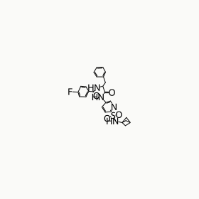 O=C(NC(Cc1ccccc1)C(=O)Nc1ccc(S(=O)(=O)NC23CC(C2)C3)nc1)c1ccc(F)cc1